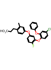 Cc1cc(Oc2ccc(F)c(Oc3ccc(Cl)cc3Oc3ccccc3)c2)ccc1CCC(=O)O